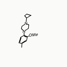 COc1cc(C)ccc1N1CCN(C2CCC2)CC1